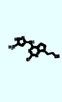 Cc1cc(Nc2nc(Cl)nc3c2ccn3CCC#N)n[nH]1